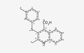 Cc1cccc(Sc2c(C)nc3ccccc3c2C(=O)O)c1